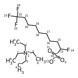 CC[N+](CC)(CC)CC.O=S(=O)([O-])C(F)CCCCCCCC(F)(F)F